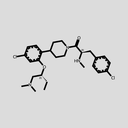 CC[C@H](CN(C)C)Oc1cc(Cl)ccc1C1CCN(C(=O)[C@@H](Cc2ccc(Cl)cc2)NC)CC1